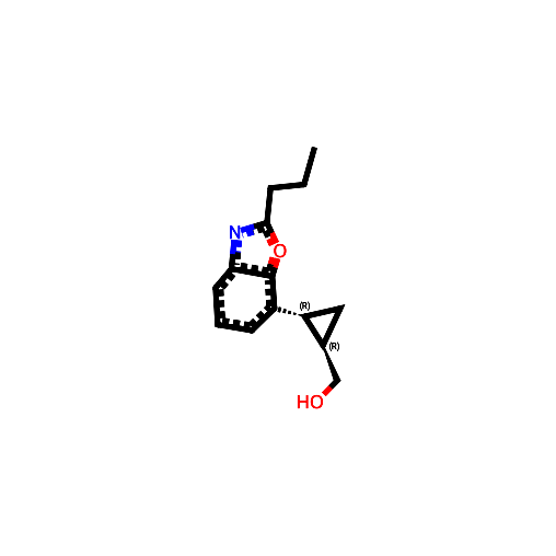 CCCc1nc2cccc([C@@H]3C[C@H]3CO)c2o1